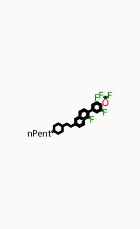 CCCCCC1CCC(CCc2ccc3c(F)c(-c4cc(F)c(OC(F)F)c(F)c4)ccc3c2)CC1